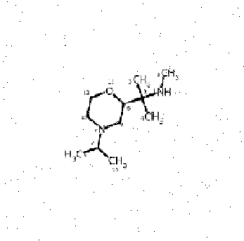 CNC(C)(C)[C@H]1CN(C(C)C)CCO1